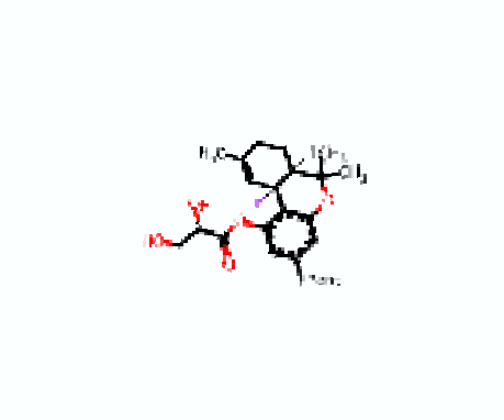 CCCCCc1cc(OC(=O)[C@H](O)CO)c2c(c1)OC(C)(C)[C@@H]1CCC(C)=C[C@]21I